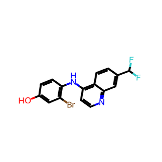 Oc1ccc(Nc2ccnc3cc(C(F)F)ccc23)c(Br)c1